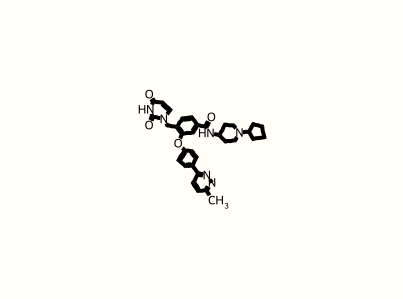 Cc1ccc(-c2ccc(Oc3cc(C(=O)NC4CCN(C5CCCC5)CC4)ccc3Cn3ccc(=O)[nH]c3=O)cc2)nn1